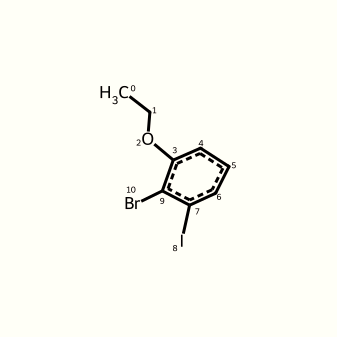 CCOc1cccc(I)c1Br